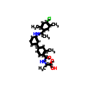 Cc1cc(C(C)Nc2cccc(-c3ccc(C(=O)N[C@@H](C)C(=O)O)c(C)c3)c2)c(C)cc1Cl